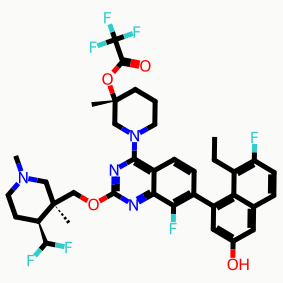 CCc1c(F)ccc2cc(O)cc(-c3ccc4c(N5CCC[C@@](C)(OC(=O)C(F)(F)F)C5)nc(OC[C@]5(C)CN(C)CC[C@@H]5C(F)F)nc4c3F)c12